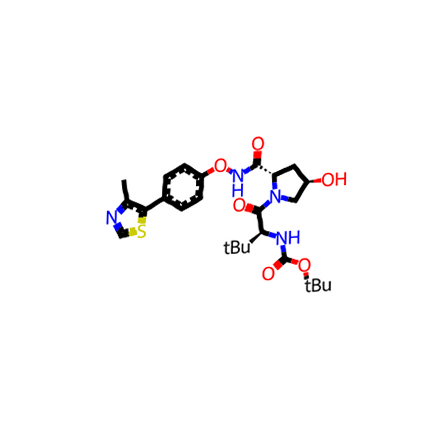 Cc1ncsc1-c1ccc(ONC(=O)[C@@H]2C[C@@H](O)CN2C(=O)[C@@H](NC(=O)OC(C)(C)C)C(C)(C)C)cc1